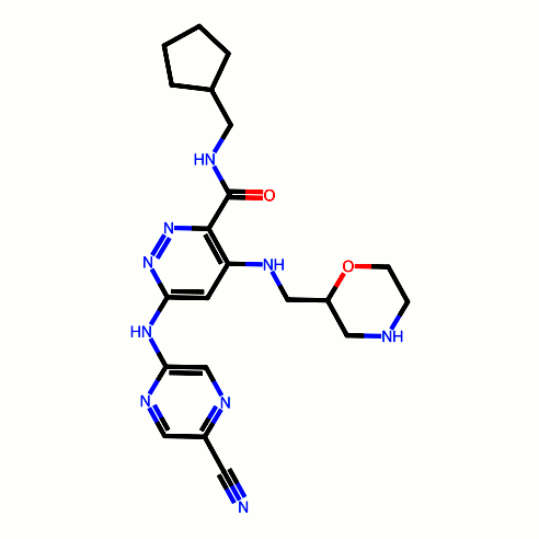 N#Cc1cnc(Nc2cc(NCC3CNCCO3)c(C(=O)NCC3CCCC3)nn2)cn1